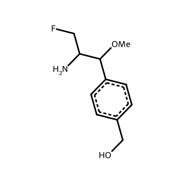 COC(c1ccc(CO)cc1)C(N)CF